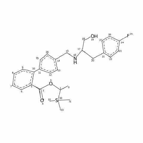 CC(OC(=O)c1ccccc1-c1ccc(CNC(CO)Cc2ccc(F)cc2)cc1)[Si](C)(C)C